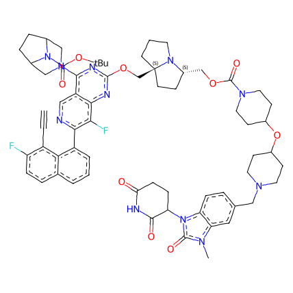 C#Cc1c(F)ccc2cccc(-c3ncc4c(N5CC6CCC(C5)N6C(=O)OC(C)(C)C)nc(OC[C@@]56CCCN5[C@H](COC(=O)N5CCC(OC7CCN(Cc8ccc9c(c8)n(C)c(=O)n9C8CCC(=O)NC8=O)CC7)CC5)CC6)nc4c3F)c12